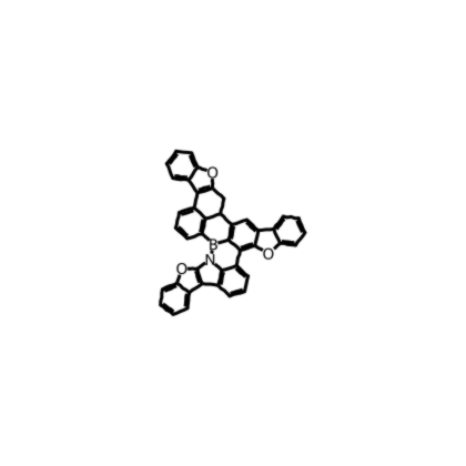 c1cc2c3c(c1)-c1c(oc4ccccc14)CC3c1cc3c(oc4ccccc43)c3c1B2n1c2oc4ccccc4c2c2cccc-3c21